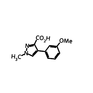 COc1cccc(-c2cn(C)nc2C(=O)O)c1